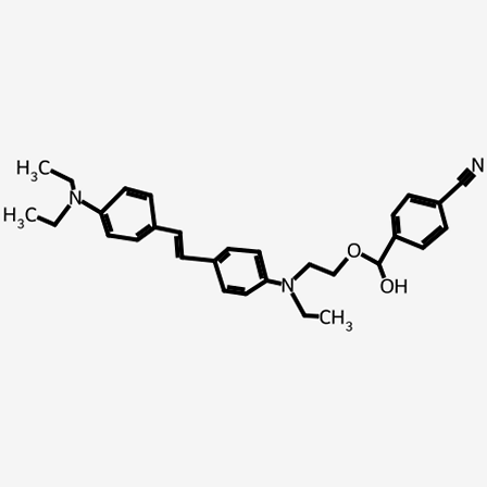 CCN(CC)c1ccc(/C=C/c2ccc(N(CC)CCOC(O)c3ccc(C#N)cc3)cc2)cc1